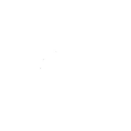 c1ccc(-c2nc3c(c(-c4cccc5ccccc45)n2)C2(c4ccccc4-c4ccccc42)c2cc(-c4ccc(-c5ccc6ccccc6c5)cc4)ccc2-3)cc1